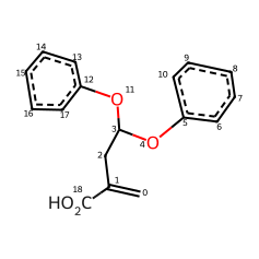 C=C(CC(Oc1ccccc1)Oc1ccccc1)C(=O)O